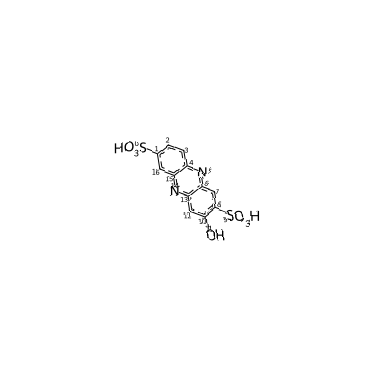 O=S(=O)(O)c1ccc2nc3cc(S(=O)(=O)O)c(O)cc3nc2c1